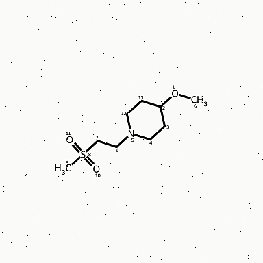 COC1CCN(CCS(C)(=O)=O)CC1